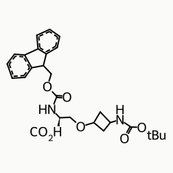 CC(C)(C)OC(=O)NC1CC(OC[C@H](NC(=O)OCC2c3ccccc3-c3ccccc32)C(=O)O)C1